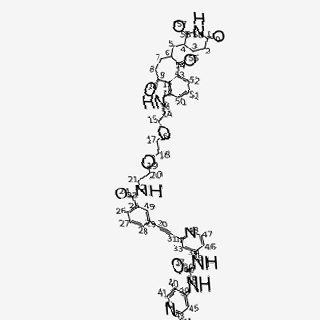 O=C1CCC(CC2CCC(=O)c3c(NCCOCCOCCNC(=O)c4cccc(C#Cc5cc(NC(=O)Nc6ccnc(Cl)c6)ccn5)c4)cccc3C2=O)C(=O)N1